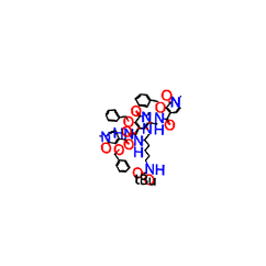 Cn1ccc(C(=O)NCCN(CCNC(=O)c2ccn(C)c(=O)c2OCc2ccccc2)CC(CCCCNC(=O)OC(C)(C)C)NC(=O)c2ccn(C)c(=O)c2OCc2ccccc2)c(OCc2ccccc2)c1=O